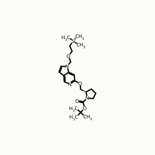 CC(C)(C)OC(=O)N1CCC[C@@H]1COc1cc2c(ccn2COCC[Si](C)(C)C)cn1